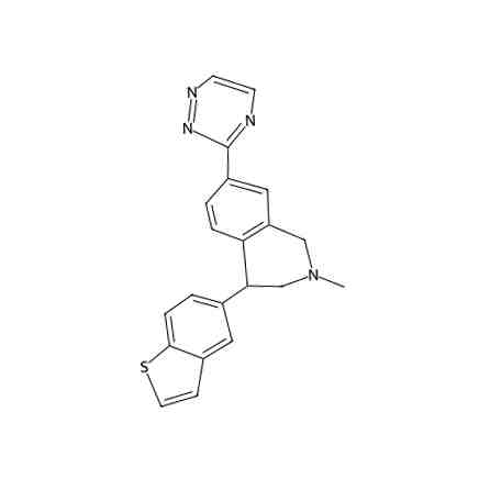 CN1Cc2cc(-c3nccnn3)ccc2C(c2ccc3sccc3c2)C1